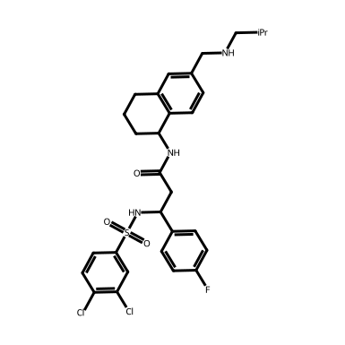 CC(C)CNCc1ccc2c(c1)CCCC2NC(=O)CC(NS(=O)(=O)c1ccc(Cl)c(Cl)c1)c1ccc(F)cc1